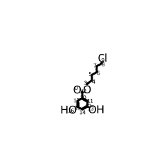 O=C(OCCCCCCCl)c1cc(O)cc(O)c1